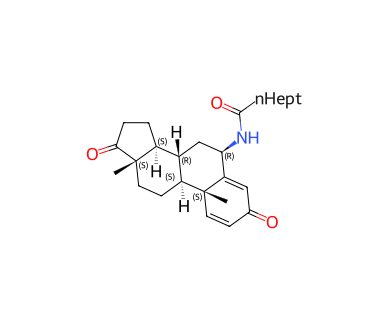 CCCCCCCC(=O)N[C@@H]1C[C@@H]2[C@H](CC[C@]3(C)C(=O)CC[C@@H]23)[C@@]2(C)C=CC(=O)C=C12